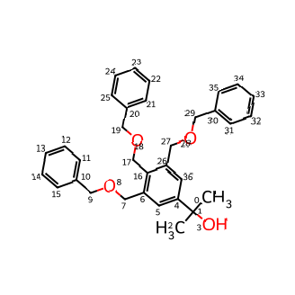 CC(C)(O)c1cc(COCc2ccccc2)c(COCc2ccccc2)c(COCc2ccccc2)c1